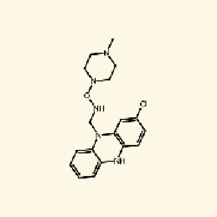 CN1CCN(ONCN2c3ccccc3Nc3ccc(Cl)cc32)CC1